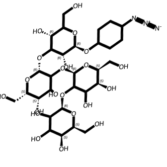 [N-]=[N+]=NC1CCC(O[C@@H]2OC(CO)[C@@H](O)C(O[C@H]3O[C@@H](CO)[C@@H](O)C(O)C3O[C@H]3O[C@@H](CO)[C@@H](O)C(O)C3O[C@H]3O[C@@H](CO)[C@@H](O)C(O)C3O)[C@H]2O)CC1